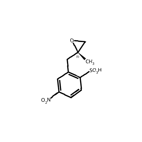 C[C@]1(Cc2cc([N+](=O)[O-])ccc2S(=O)(=O)O)CO1